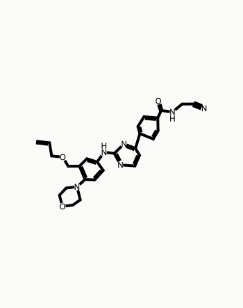 C=CCOCc1cc(Nc2nccc(-c3ccc(C(=O)NCC#N)cc3)n2)ccc1N1CCOCC1